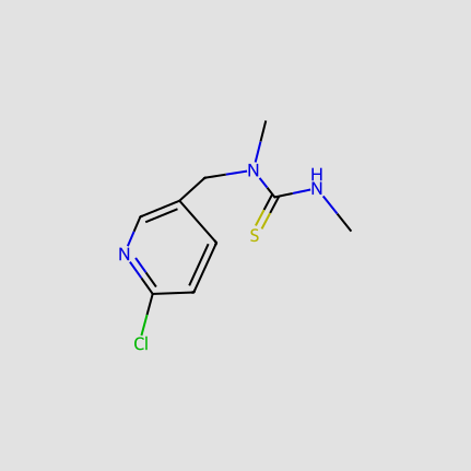 CNC(=S)N(C)Cc1ccc(Cl)nc1